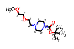 COCCOCCN1CCN(C(=O)OC(C)(C)C)CC1